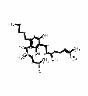 CCCCCc1cc(O)c(CC=C(C)CCC=C(C)C)c(O)c1C(=O)N(C)CCN(C)C